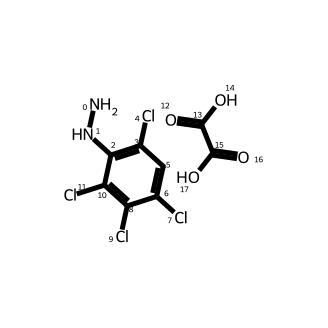 NNc1c(Cl)cc(Cl)c(Cl)c1Cl.O=C(O)C(=O)O